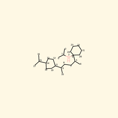 CC(C)BC1(C(C)CCC(C)C2CCC(C(C)C)CC2)CCCCC1